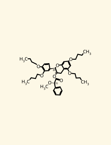 CCCCOc1cc(OCCCC)c2c(c1)O[C@H](c1ccc(OCCCC)c(OCCCC)c1)[C@H](OC(=O)[C@@H](OC)c1ccccc1)C2